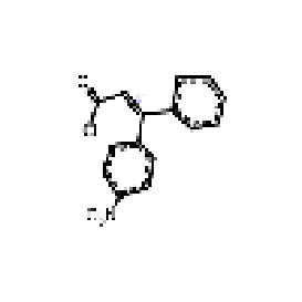 O=C(Cl)/C=C(/c1ccccc1)c1ccc([N+](=O)[O-])cc1